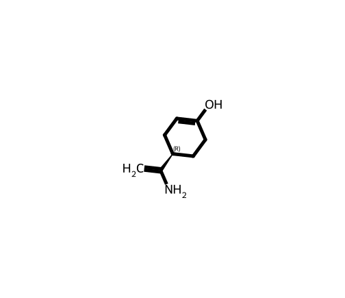 C=C(N)[C@H]1CC=C(O)CC1